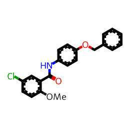 COc1ccc(Cl)cc1C(=O)Nc1ccc(OCc2ccccc2)cc1